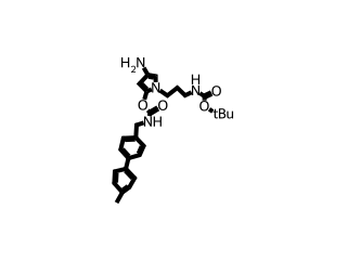 Cc1ccc(-c2ccc(CNC(=O)Oc3cc(N)cn3CCCNC(=O)OC(C)(C)C)cc2)cc1